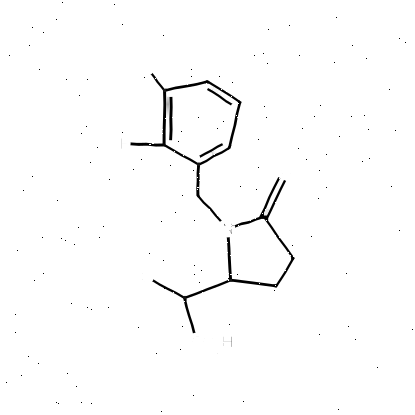 CC(C(=O)O)C1CCC(=O)N1Cc1cccc(F)c1F